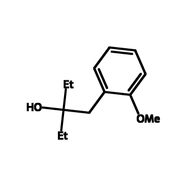 CCC(O)(CC)Cc1ccccc1OC